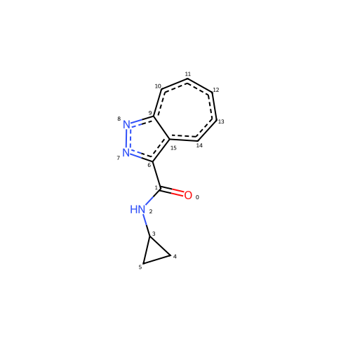 O=C(NC1CC1)c1nnc2cccccc1-2